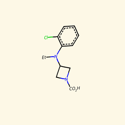 CCN(c1ccccc1Cl)C1CN(C(=O)O)C1